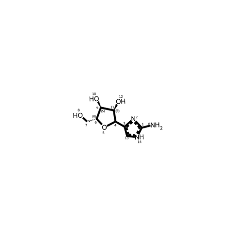 Nc1nc(C2O[C@H](CO)[C@@H](O)[C@H]2O)c[nH]1